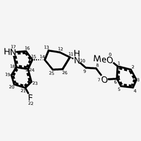 COc1ccccc1OCCN[C@H]1CC[C@@H](c2c[nH]c3ccc(F)cc32)CC1